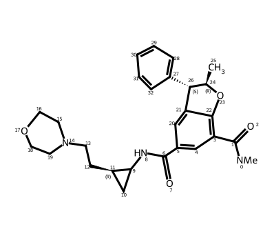 CNC(=O)c1cc(C(=O)NC2C[C@H]2CCN2CCOCC2)cc2c1O[C@H](C)[C@H]2c1ccccc1